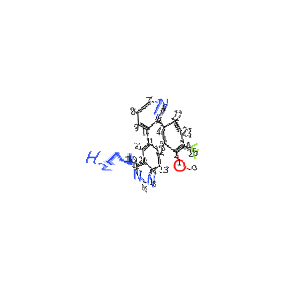 COc1cc(-c2ncccc2-c2ccc3ncnc(N)c3c2)ccc1F